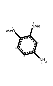 CNc1cc(N)ccc1OC